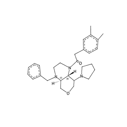 Cc1ccc(CC(=O)N2CCN(Cc3ccccc3)[C@@H]3COCC(N4CCCC4)[C@H]32)cc1C